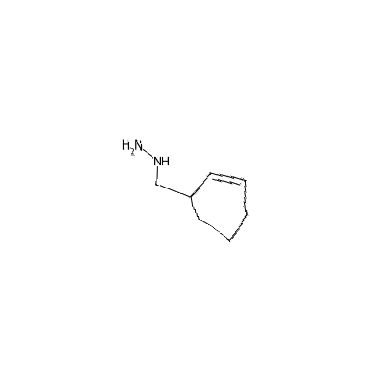 NNCC1C=CCCC1